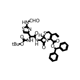 C=CC1=C(C(=O)OC(c2ccccc2)c2ccccc2)N2C(=O)C(NC(=O)C(NC(=O)OC(C)(C)C)c3csc(NC=O)n3)[C@@H]2SC1